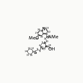 CN[C@H](CC[C@@H]1CCN(CCSC2CCCCC2)C[C@@H]1CO)c1ccnc2ccc(OC)cc12